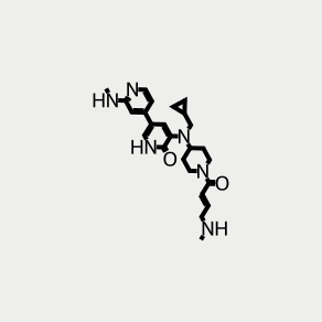 CNC/C=C/C(=O)N1CCC(N(CC2CC2)c2cc(-c3ccnc(NC)c3)c[nH]c2=O)CC1